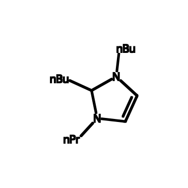 CCCCC1N(CCC)C=CN1CCCC